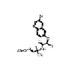 CCC(Oc1ccc2ncc(Br)cc2c1)C(=O)NC(C)(C#N)C=NOC